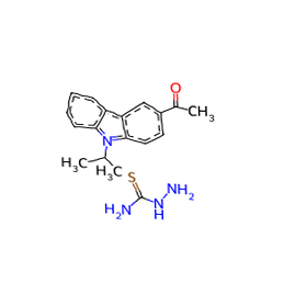 CC(=O)c1ccc2c(c1)c1ccccc1n2C(C)C.NNC(N)=S